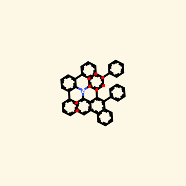 c1ccc(-c2ccc(N(c3c(-c4ccccc4)cccc3-c3ccccc3)c3cccc4c3c(-c3ccccc3)c(-c3ccccc3)c3ccccc34)cc2)cc1